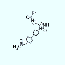 CN(C)Cc1ccc(-c2ccc(-n3c(C4CCN(C(=O)C5CC5)C4)n[nH]c3=O)cc2)cc1